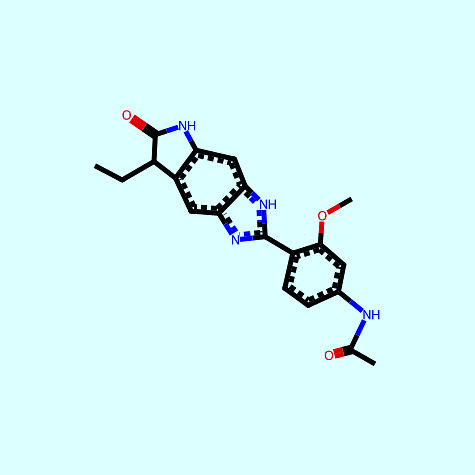 CCC1C(=O)Nc2cc3[nH]c(-c4ccc(NC(C)=O)cc4OC)nc3cc21